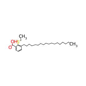 CCCCCCCCCCCCCCCCCCc1cccc(C(=O)O)c1SCC